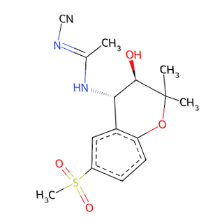 C/C(=N\C#N)N[C@H]1c2cc(S(C)(=O)=O)ccc2OC(C)(C)[C@@H]1O